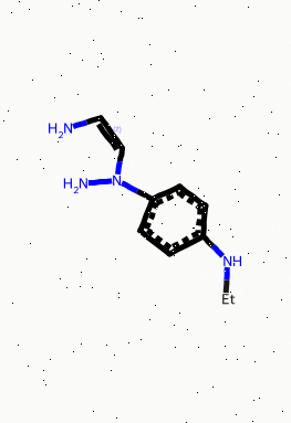 CCNc1ccc(N(N)/C=C\N)cc1